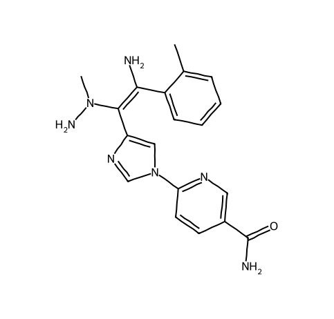 Cc1ccccc1/C(N)=C(\c1cn(-c2ccc(C(N)=O)cn2)cn1)N(C)N